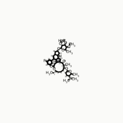 CC[C@H]1CCC[C@H](O[C@H]2CC[C@H](N(C)C)C(C)O2)[C@@H](C)C(=O)C2=C[C@@H]3C(C(c4cccc(F)c4)=CC4C[C@@H](OC5OC(C)C(OC)C(OC)C5OC)C[C@H]43)[C@@H]2CC(=O)O1